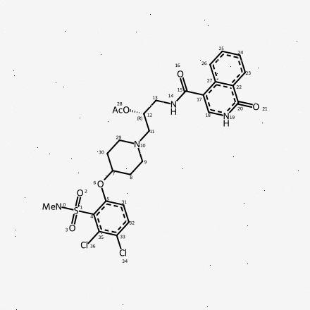 CNS(=O)(=O)c1c(OC2CCN(C[C@@H](CNC(=O)c3c[nH]c(=O)c4ccccc34)OC(C)=O)CC2)ccc(Cl)c1Cl